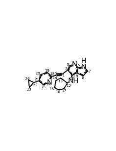 C(#Cc1cnc2[nH]ccc2c1NC1CCCCC1)c1ccc(C2CC2)cn1